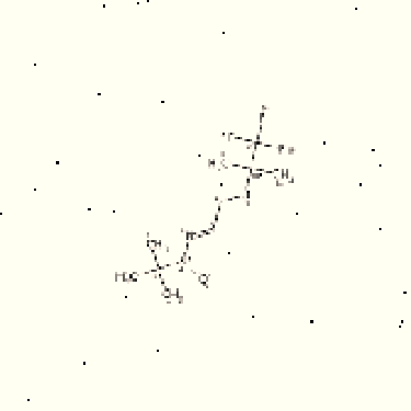 CC(C)(C)[S@@+]([O-])/N=C/COC(C)(C)C(F)(F)F